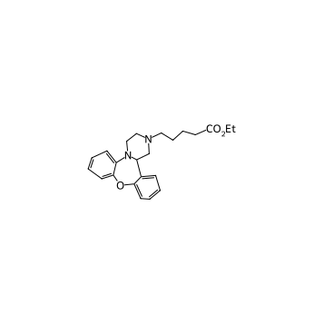 CCOC(=O)CCCCN1CCN2c3ccccc3Oc3ccccc3C2C1